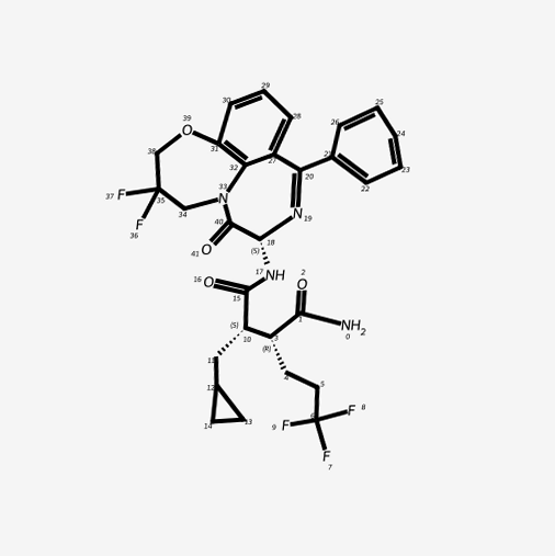 NC(=O)[C@H](CCC(F)(F)F)[C@H](CC1CC1)C(=O)N[C@H]1N=C(c2ccccc2)c2cccc3c2N(CC(F)(F)CO3)C1=O